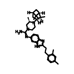 Cc1ccc(CCc2nc3ccc(N=C(N)N4CCN([C@H]5C[C@@H]6C[C@@H]([C@H]5C)C6(C)C)[C@@H](C)C4)cc3[nH]2)c(C)c1